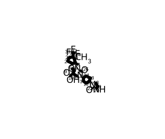 Cc1c(Cn2c(=O)c(C(=O)O)cn(-c3ccc(-n4cc[nH]c4=O)cc3)c2=O)cccc1C(F)(F)F